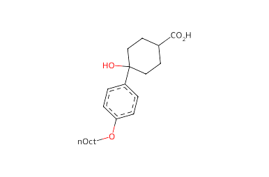 CCCCCCCCOc1ccc(C2(O)CCC(C(=O)O)CC2)cc1